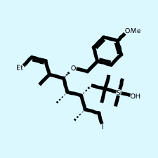 CC/C=C\C(C)[C@H](OCc1ccc(OC)cc1)[C@@H](C)[C@H](CC(C)(C)[Si](C)(C)O)[C@@H](C)CI